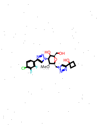 CO[C@@H]1[C@@H](n2cc(-c3ccc(Cl)c(F)c3F)nn2)[C@@H](O)[C@@H](CO)O[C@@H]1Cn1cc(C2(O)CCC2)nn1